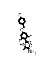 CC(NC(=O)c1c(F)cc(OCc2ccc(F)cc2)cc1F)C(N)=O